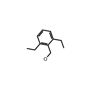 CCc1cccc(CC)c1C[O]